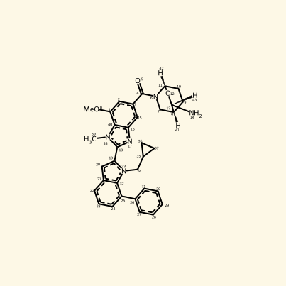 COc1cc(C(=O)N2C[C@H]3CC[C@@H]2C[C@@H]3N)cc2nc(-c3cc4cccc(-c5ccccc5)c4n3CC3CC3)n(C)c12